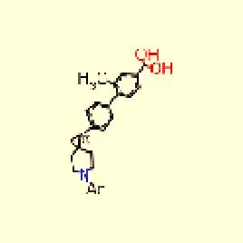 CC(=O)N1CCC2(CC1)C[C@H]2c1ccc(-c2ccc(C(O)O)cc2C)cc1